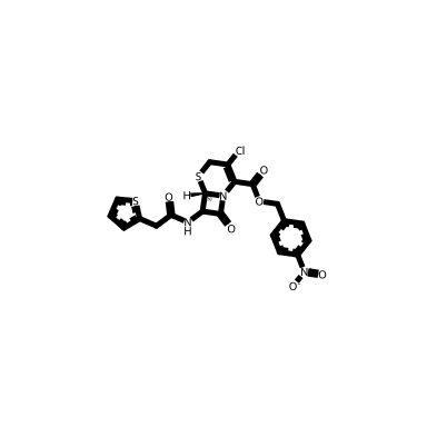 O=C(Cc1cccs1)NC1C(=O)N2C(C(=O)OCc3ccc([N+](=O)[O-])cc3)=C(Cl)CS[C@@H]12